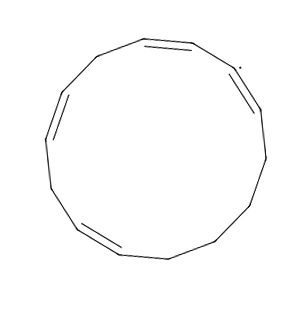 [C]1=CCCCCC=CCC=CCC=C1